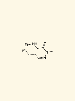 C=C(CNCC)N(C)/N=C\CCC(C)C